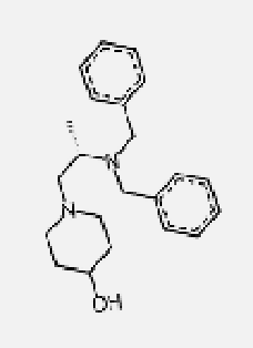 C[C@@H](CN1CCC(O)CC1)N(Cc1ccccc1)Cc1ccccc1